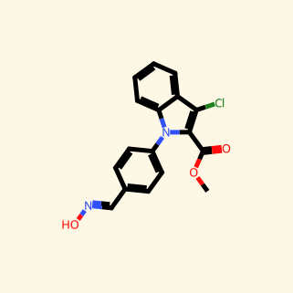 COC(=O)c1c(Cl)c2ccccc2n1-c1ccc(/C=N/O)cc1